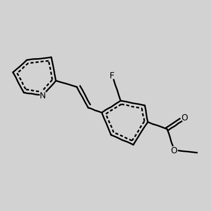 COC(=O)c1ccc(/C=C/c2ccccn2)c(F)c1